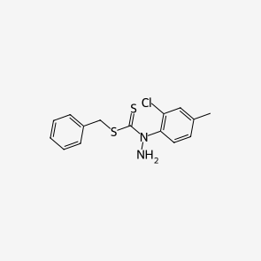 Cc1ccc(N(N)C(=S)SCc2ccccc2)c(Cl)c1